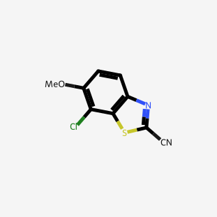 COc1ccc2nc(C#N)sc2c1Cl